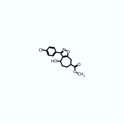 COC(=O)C1CCC(O)c2c(-c3ccc(Cl)cc3)noc2C1